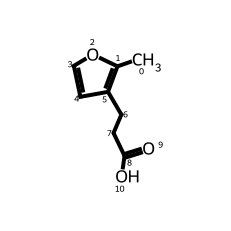 Cc1occc1CCC(=O)O